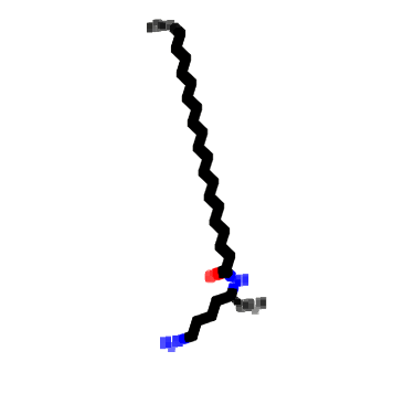 CCCCCCCCCCCCCCCCCCCCCCCCCCCCCC(=O)N[C@@H](CCCCN)C(=O)O